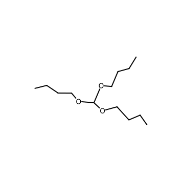 CCCCOC(OCCCC)OCCCC